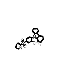 Cc1cc(S(=O)(=O)c2ccccn2)ccc1-n1c2ccccc2c2ccccc21